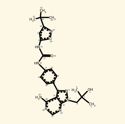 CC(C)(O)Cn1nc(-c2ccc(NC(=O)Nc3cc(C(C)(C)C)no3)cc2)c2c(N)ncnc21